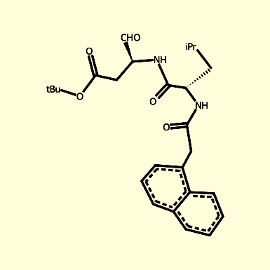 CC(C)C[C@H](NC(=O)Cc1cccc2ccccc12)C(=O)N[C@H](C=O)CC(=O)OC(C)(C)C